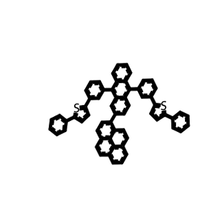 c1ccc(-c2ccc(-c3cccc(-c4c5ccccc5c(-c5cccc(-c6ccc(-c7ccccc7)s6)c5)c5cc(-c6ccc7ccc8cccc9ccc6c7c89)ccc45)c3)s2)cc1